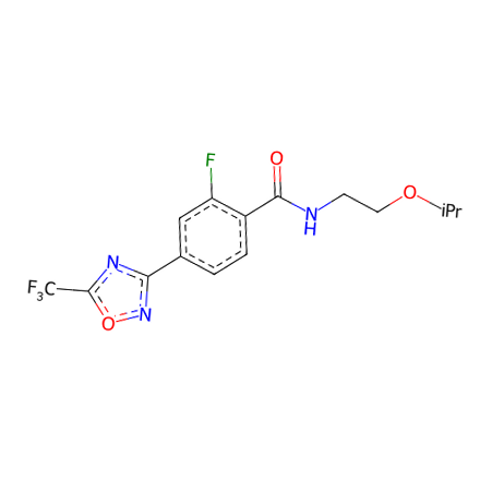 CC(C)OCCNC(=O)c1ccc(-c2noc(C(F)(F)F)n2)cc1F